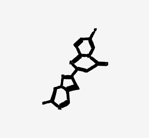 Cc1cn2nc(-c3cc(=O)n4cc(F)ccc4n3)cc2cn1